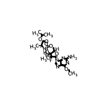 CCOc1nc(N)nc2c1ncn2[C@@H]1O[C@@H]2CO[P@@](=O)(N[C@@H](C)C(=O)OC(C)C)O[C@H]2[C@@]1(C)F